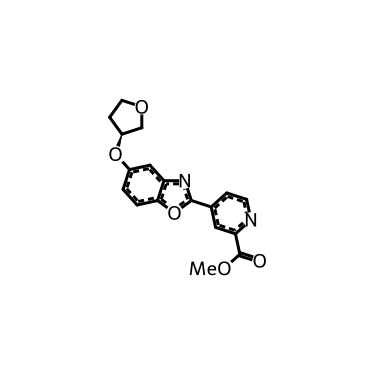 COC(=O)c1cc(-c2nc3cc(O[C@H]4CCOC4)ccc3o2)ccn1